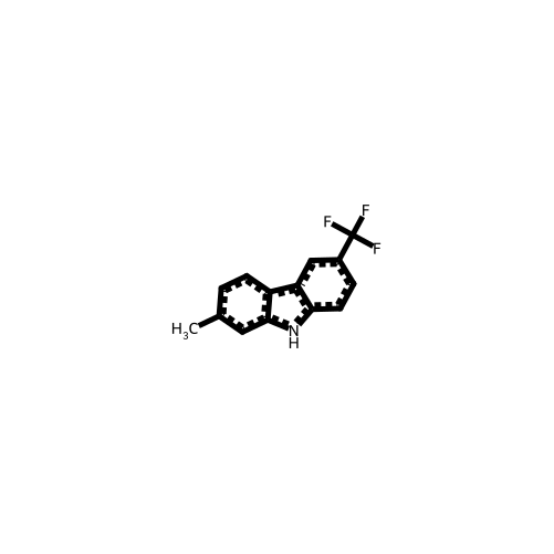 Cc1ccc2c(c1)[nH]c1ccc(C(F)(F)F)cc12